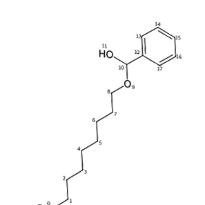 CCCCCCCCCCCCCCCCCCOC(O)c1ccccc1